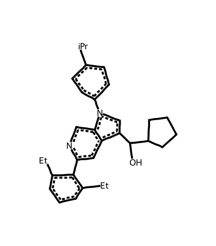 CCc1cccc(CC)c1-c1cc2c(C(O)C3CCCC3)cn(-c3ccc(C(C)C)cc3)c2cn1